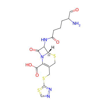 NC(C=O)CCCC(=O)NC1C(=O)N2C(C(=O)O)=C(CSc3nncs3)CS[C@@H]12